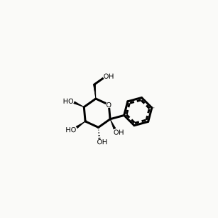 OC[C@H]1O[C@](O)(c2cc[c]cc2)[C@H](O)[C@@H](O)[C@H]1O